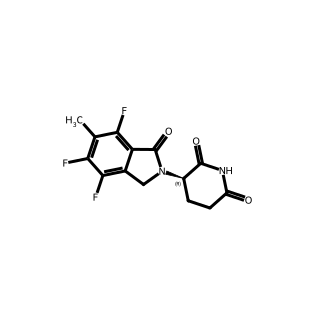 Cc1c(F)c(F)c2c(c1F)C(=O)N([C@@H]1CCC(=O)NC1=O)C2